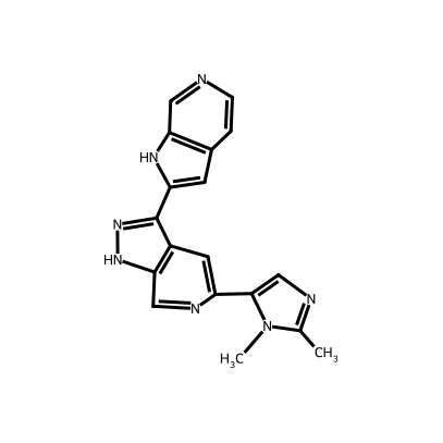 Cc1ncc(-c2cc3c(-c4cc5ccncc5[nH]4)n[nH]c3cn2)n1C